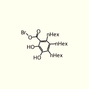 CCCCCCc1c(O)c(O)c(C(=O)OBr)c(CCCCCC)c1CCCCCC